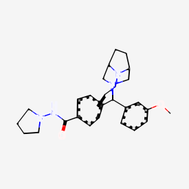 C=CCN1C2CCC1CN(C(c1ccc(C(=O)NN3CCCC3)cc1)c1cccc(OC)c1)C2